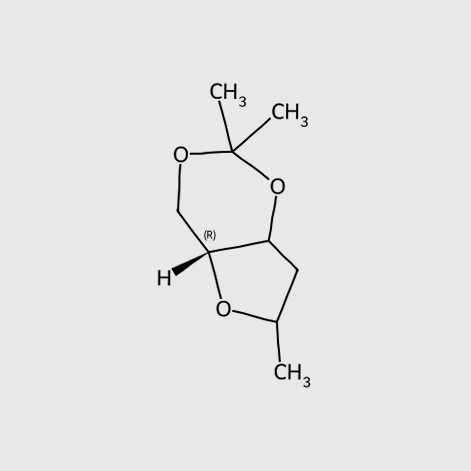 CC1CC2OC(C)(C)OC[C@H]2O1